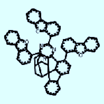 c1ccc2c(c1)-c1ccc(-c3cccc4c3oc3ccccc34)c(-c3nc(-c4cccc5c4oc4ccccc45)nc(-c4cccc5c4oc4ccccc45)n3)c1C21C2CC3CC(C2)CC1C3